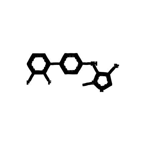 Cn1ncc(Br)c1Nc1ccc(-c2cccc(F)c2F)cc1